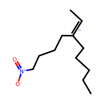 C/C=C(/CCCCC)CCCC[N+](=O)[O-]